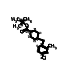 Cc1cc(Cl)ccc1CC1CCN(C(=O)OC(C)(C)C)CC1